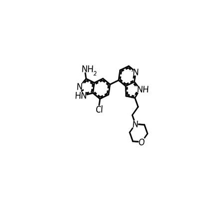 Nc1n[nH]c2c(Cl)cc(-c3ccnc4[nH]c(CCN5CCOCC5)cc34)cc12